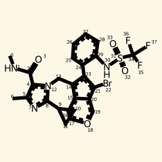 CNC(=O)c1c(C)nc(C2CC2)n1Cc1c2ccocc-2c(Br)c1-c1ccccc1NS(=O)(=O)C(F)(F)F